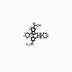 COc1ccc2c(c1)CC(S(=O)(=O)N1CCOCC1)Cn1c-2c(C2CCCCC2)c2ccc(C(=O)O)cc21